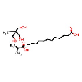 C=C(C)C(=O)O.CCC(CO)(CO)CO.CCCCCCCCCCCC(=O)O